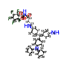 N=C1C=CC(=C(c2ccc(NCCCS(=O)(=O)NS(=O)(=O)c3c(F)c(F)c(F)c(F)c3F)cc2)c2ccc(N(c3ccccc3)c3ccccc3)cc2)C=C1